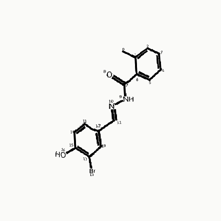 Cc1ccccc1C(=O)NN=Cc1ccc(O)c(Br)c1